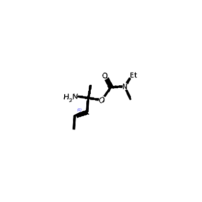 C/C=C/C(C)(N)OC(=O)N(C)CC